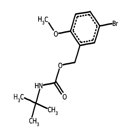 COc1ccc(Br)cc1COC(=O)NC(C)(C)C